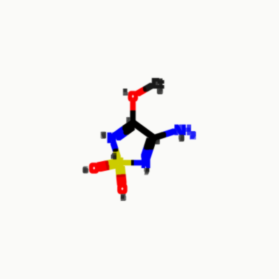 CCOC1=NS(=O)(=O)N=C1N